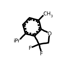 Cc1ccc(C(C)C)c2c1OCC2(F)F